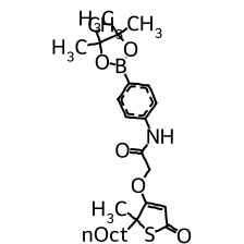 CCCCCCCCC1(C)SC(=O)C=C1OCC(=O)Nc1ccc(B2OC(C)(C)C(C)(C)O2)cc1